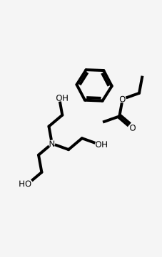 CCOC(C)=O.OCCN(CCO)CCO.c1ccccc1